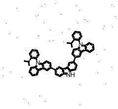 CC(C)c1ccccc1-n1c2ccccc2c2cc(-c3ccc4[nH]c5ccc(-c6ccc7c(c6)c6ccccc6n7-c6ccccc6C(C)C)cc5c4c3)ccc21